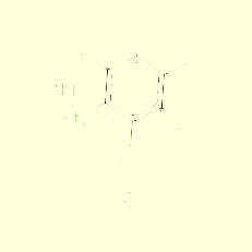 Clc1[c]c(Cl)c(Cl)c(Cl)c1Cl.O.[AlH3].[Zr]